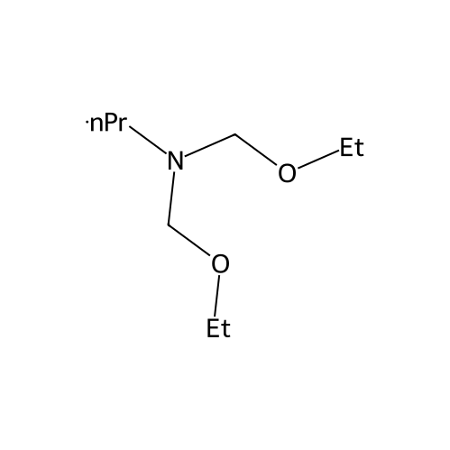 CC[CH]N(COCC)COCC